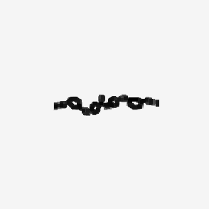 O=C(Nc1ccc(Oc2cccc(O)c2)cc1)c1ccc(Oc2cccc(O)c2)cc1